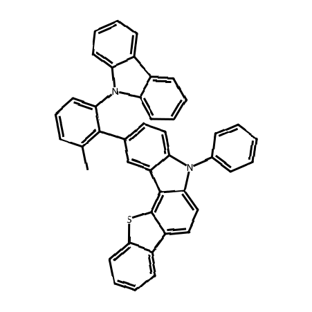 Cc1cccc(-n2c3ccccc3c3ccccc32)c1-c1ccc2c(c1)c1c3sc4ccccc4c3ccc1n2-c1ccccc1